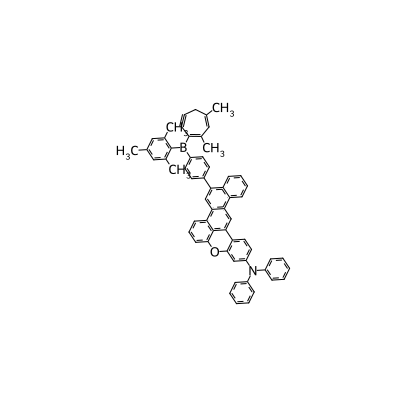 CC1=CC(C)=C(B(c2ccc(-c3cc4c5cccc6c5c(cc4c4ccccc34)-c3ccc(N(c4ccccc4)c4ccccc4)cc3O6)cc2)c2c(C)cc(C)cc2C)C#CC1